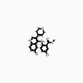 COC(=O)c1cc(Cl)ccc1Nc1c(C2=CCOCC2)cnc2ccc(Cl)cc12